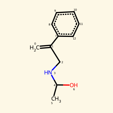 C=C(CNC(C)O)c1ccccc1